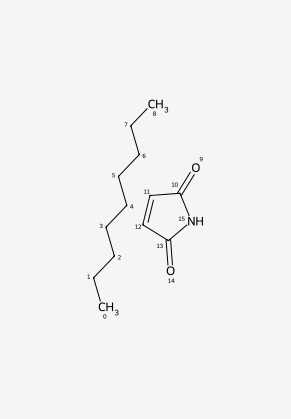 CCCCCCCCC.O=C1C=CC(=O)N1